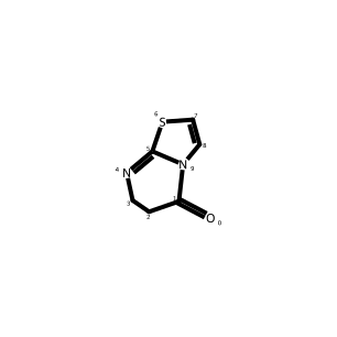 O=C1CCN=C2SC=CN12